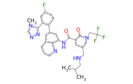 CC(C)CNCc1cc(C(=O)Nc2cc(-c3ccc(F)cc3-c3nncn3C)cc3cccnc23)c(=O)n(CC(F)(F)F)c1